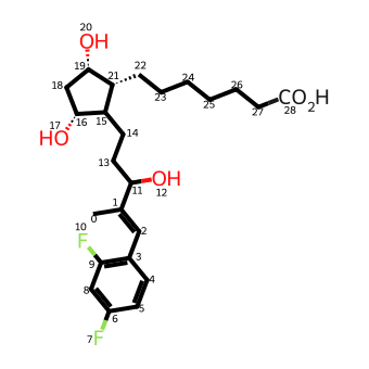 CC(=Cc1ccc(F)cc1F)C(O)CCC1[C@H](O)C[C@H](O)[C@@H]1CCCCCCC(=O)O